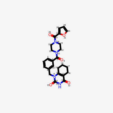 O=C(c1cccc(Cn2c3c(c(=O)[nH]c2=O)CCCC3)c1)N1CCN(C(=O)c2ccco2)CC1